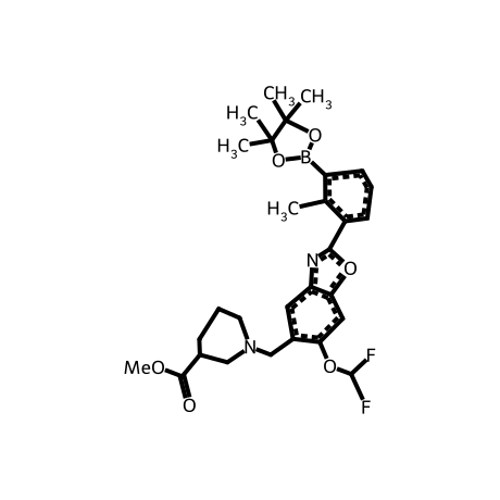 COC(=O)C1CCCN(Cc2cc3nc(-c4cccc(B5OC(C)(C)C(C)(C)O5)c4C)oc3cc2OC(F)F)C1